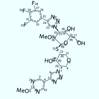 COc1ncc(-c2cn([C@H]3COC[C@@H](S[C@@H]4O[C@H](CO)[C@H](O)[C@H](n5cc(-c6cc(F)c(F)c(F)c6)nn5)[C@H]4OC)[C@@H]3O)nn2)cn1